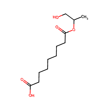 CC(CO)OC(=O)CCCCCCCC(=O)O